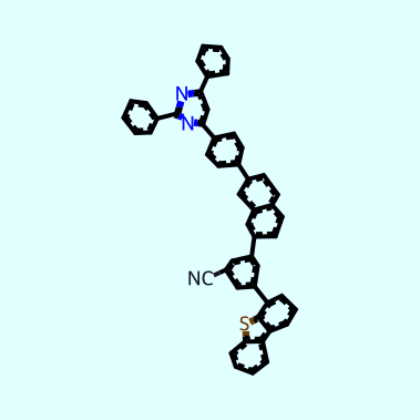 N#Cc1cc(-c2ccc3ccc(-c4ccc(-c5cc(-c6ccccc6)nc(-c6ccccc6)n5)cc4)cc3c2)cc(-c2cccc3c2sc2ccccc23)c1